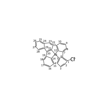 Clc1cccc2c1-c1ccccc1C21c2ccccc2-c2c1ccc1ccccc21